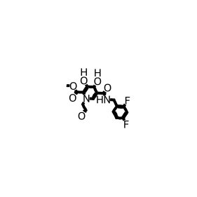 COC(=O)C1=C(O)C(O)C(C(=O)NCc2ccc(F)cc2F)=CN1CC=O